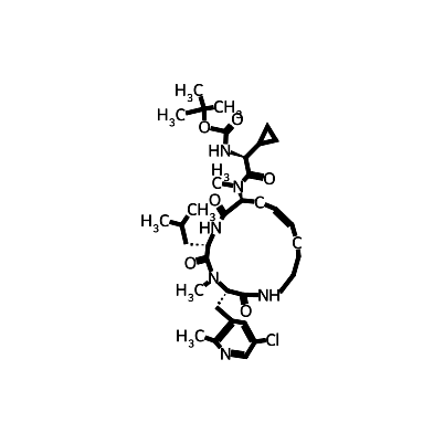 Cc1ncc(Cl)cc1C[C@H]1C(=O)NCCCCC=CC[C@H](N(C)C(=O)[C@@H](NC(=O)OC(C)(C)C)C2CC2)C(=O)N[C@@H](CC(C)C)C(=O)N1C